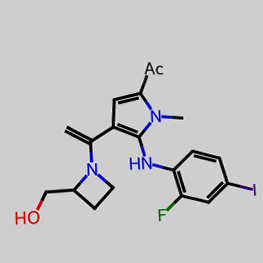 C=C(c1cc(C(C)=O)n(C)c1Nc1ccc(I)cc1F)N1CCC1CO